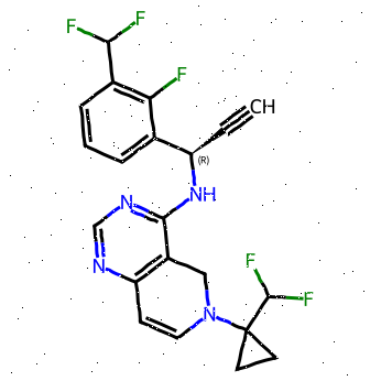 C#C[C@@H](Nc1ncnc2c1CN(C1(C(F)F)CC1)C=C2)c1cccc(C(F)F)c1F